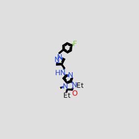 CCC1C(=O)N(CC)c2cnc(NCc3cnn(Cc4ccc(F)cc4)c3)cc2N1C